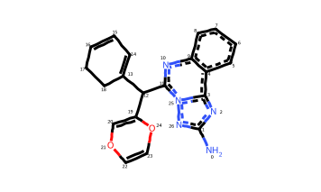 Nc1nc2c3ccccc3nc(C(C3=CC=CCC3)C3=COC=CO3)n2n1